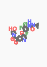 COc1cc2nccc(Oc3c(F)cc(NC(=O)NC4CC4)c(Cl)c3F)c2cc1C(=O)N1CC[C@@H](O)C1